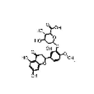 COc1ccc([C@@H]2CC(=O)c3c(O)cc(O)cc3O2)cc1O[C@@H]1O[C@H](C(=O)O)[C@@H](O)[C@H](O)[C@H]1O